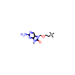 Cn1c(=O)n(COCC[Si](C)(C)C)c2cnc(N)nc21